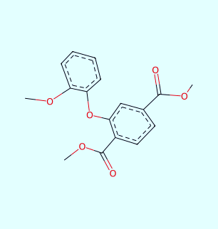 COC(=O)c1ccc(C(=O)OC)c(Oc2ccccc2OC)c1